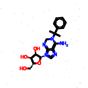 CC(C)(c1ccccc1)N1CN=c2c(ncn2[C@@H]2O[C@H](CO)[C@@H](O)[C@H]2O)=C1N